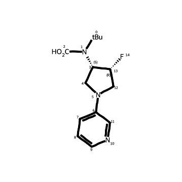 CC(C)(C)N(C(=O)O)[C@H]1CN(c2cccnc2)C[C@H]1F